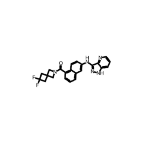 O=C(c1cccc2cc(Nc3n[nH]c4cccnc34)ccc12)N1CC2(C1)CC(F)(F)C2